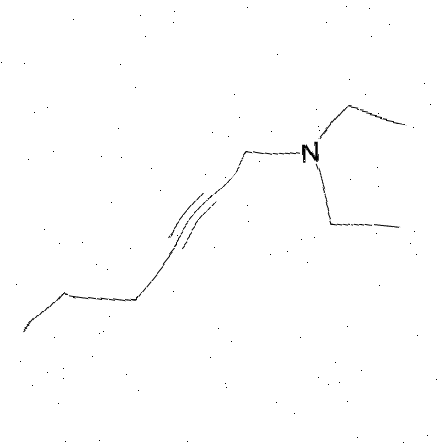 CCCC#CCN(CC)CC